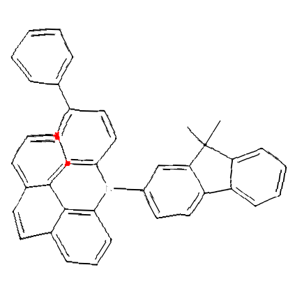 CC1(C)c2ccccc2-c2ccc(N(c3ccc(-c4ccccc4)cc3)c3cccc4ccc5ccccc5c34)cc21